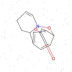 O=C1C=C2C(=C3C=CC2ON2C=CCCC32)O1